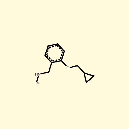 CC(C)NCc1ccccc1OCC1CC1